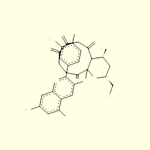 O=C1CCC(=O)C2(Oc3cc4c(O)cc(O)cc4[o+]c3-c3ccc(O)c(O)c3)O[C@H](CO)[C@@H](O)[C@H](O)[C@]2(O)C(=O)CC1=O